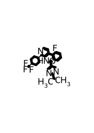 CC(C)c1ncc(C(=O)Nc2c(-c3ccccc3F)ccnc2[C@H]2CC[C@@H](C(F)(F)F)CC2)cn1